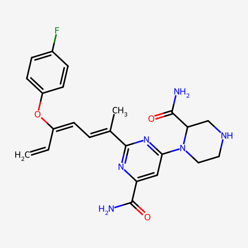 C=C/C(=C\C=C(/C)c1nc(C(N)=O)cc(N2CCNCC2C(N)=O)n1)Oc1ccc(F)cc1